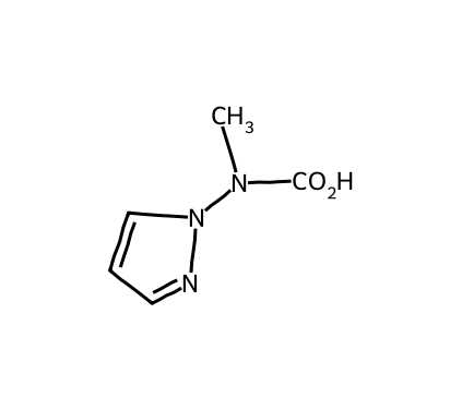 CN(C(=O)O)n1cccn1